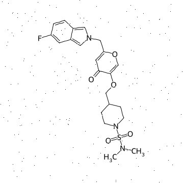 CN(C)S(=O)(=O)N1CCC(COc2coc(Cn3cc4ccc(F)cc4c3)cc2=O)CC1